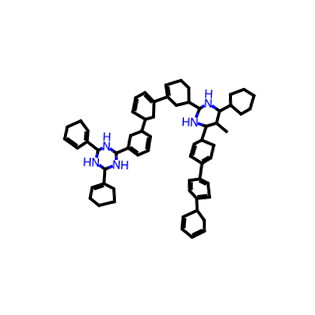 CC1C(C2C=CC(c3ccc(C4C=CC=CC4)cc3)=CC2)NC(C2CCC=C(C3=CC=CC(C4C=CC=C(C5NC(C6=CCCC=C6)NC(C6=CCCCC6)N5)C4)C3)C2)NC1C1CCCCC1